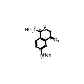 CCCCCCc1ccc2c(c1)C(=O)CSC2C(=O)O